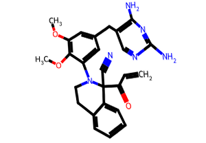 C=CC(=O)C1(C#N)c2ccccc2CCN1c1cc(Cc2cnc(N)nc2N)cc(OC)c1OC